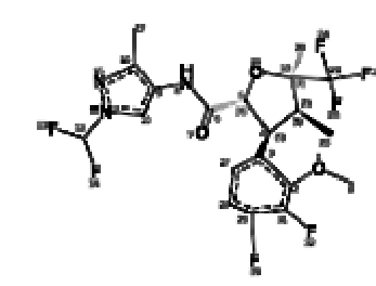 COc1c([C@H]2[C@H](C(=O)Nc3cn(C(F)F)nc3C)O[C@@](C)(C(F)(F)F)[C@H]2C)ccc(F)c1F